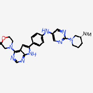 CN[C@@H]1CCCN(c2ncc(Nc3ccc(-c4cc5c(N6CCOCC6)ncnc5[nH]4)cc3)cn2)C1